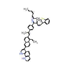 C=C\C=C/C=C(C)/N=C(\C(=C)/C=C\C1CSc2ccccc21)c1ccc(/C(C)=C/C2=C(C=C)C3C=CC(C4=CCNc5c4ccc4c5NCC=C4)=CC3C=C2)cc1